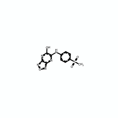 CS(=O)(=O)c1ccc(Nc2nc3nonc3nc2O)cc1